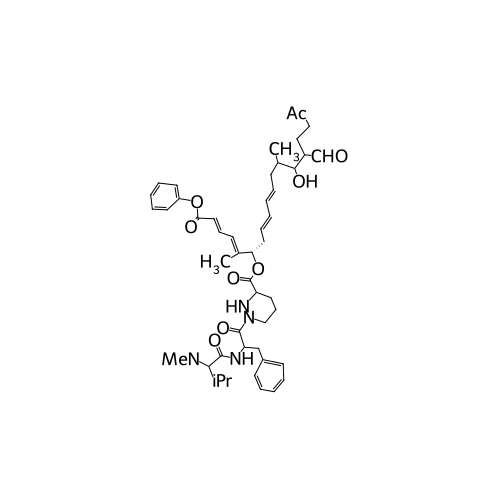 CNC(C(=O)NC(Cc1ccccc1)C(=O)N1CCCC(C(=O)O[C@@H](C/C=C/C=C/CC(C)C(O)C(C=O)CCC(C)=O)/C(C)=C/C=C/C(=O)Oc2ccccc2)N1)C(C)C